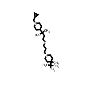 CC(C)(CCOCCCN1CCC(C)(C(C)(C)C)CC1)C1CCN(CC2CC2)CC1